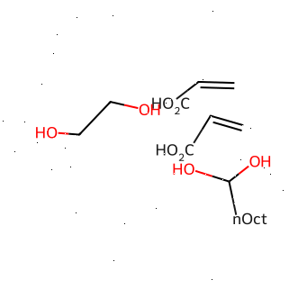 C=CC(=O)O.C=CC(=O)O.CCCCCCCCC(O)O.OCCO